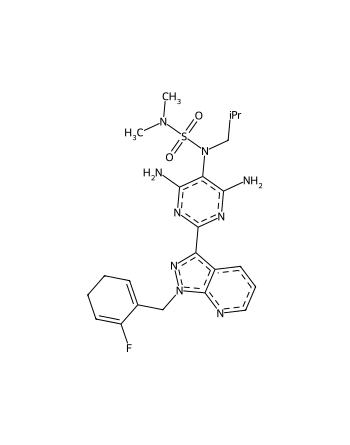 CC(C)CN(c1c(N)nc(-c2nn(CC3=CCCC=C3F)c3ncccc23)nc1N)S(=O)(=O)N(C)C